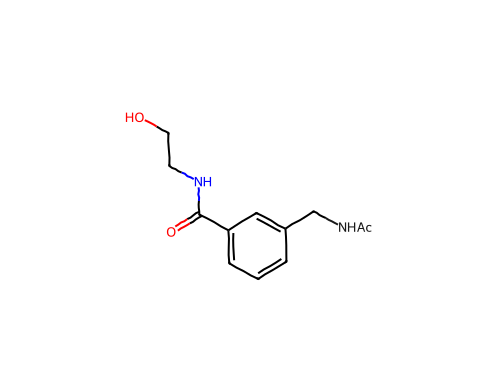 CC(=O)NCc1cccc(C(=O)NCCO)c1